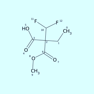 CCC(C(=O)O)(C(=O)OC)C(F)F